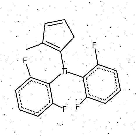 CC1=[C]([Ti]([c]2c(F)cccc2F)[c]2c(F)cccc2F)CC=C1